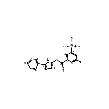 O=C(Nc1nnc(-c2ccccc2)o1)c1cc(F)cc(C(F)(F)F)c1